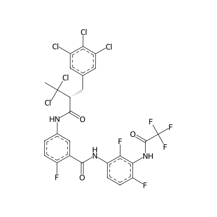 CC(Cl)(Cl)[C@H](Cc1cc(Cl)c(Cl)c(Cl)c1)C(=O)Nc1ccc(F)c(C(=O)Nc2ccc(F)c(NC(=O)C(F)(F)F)c2F)c1